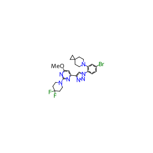 COc1cc(-c2cn(-c3ccc(Br)cc3N3CCC4(CC3)CC4)nn2)nc(N2CCC(F)(F)CC2)n1